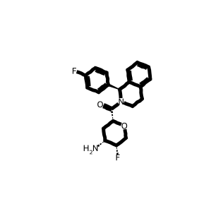 N[C@@H]1C[C@H](C(=O)N2CCc3ccccc3[C@@H]2c2ccc(F)cc2)OC[C@@H]1F